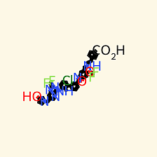 Cc1c(Nc2nc(C(F)F)nc3cc(CN4CCC(O)C4)cnc23)cccc1-c1cccc(-c2nc3cc(CNCCC45CCC(C(=O)O)(CC4)C5)c(OC(F)F)cc3o2)c1Cl